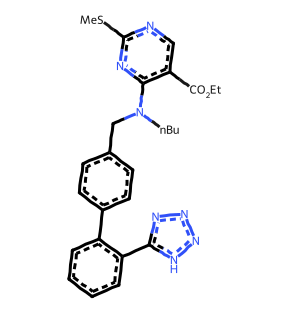 CCCCN(Cc1ccc(-c2ccccc2-c2nnn[nH]2)cc1)c1nc(SC)ncc1C(=O)OCC